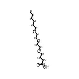 CCCCCCOCCOCCOCCCC(=O)O